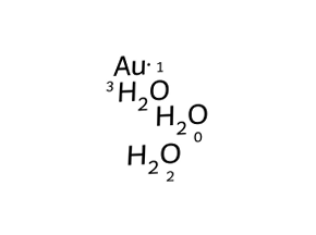 O.O.O.[Au]